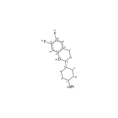 CCCC1CCC(C2CCc3cc(F)c(F)cc3O2)CC1